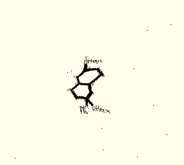 CCCCCCCC1CCC2CC(C#N)(CCCCCC)CCC2C1